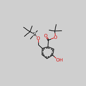 CC(C)(C)OC(=O)c1cc(O)ccc1CO[Si](C)(C)C(C)(C)C